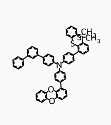 C[Si]1(C)c2ccccc2Sc2c(-c3ccc(N(c4ccc(-c5cccc(-c6ccccc6)c5)cc4)c4ccc(-c5cccc6c5Oc5ccccc5O6)cc4)cc3)cccc21